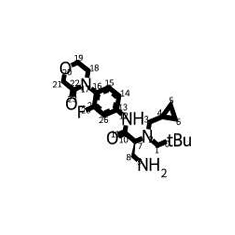 CC(C)(C)CN(CC1CC1)[C@@H](CN)C(=O)Nc1ccc(N2CCOCC2=O)c(F)c1